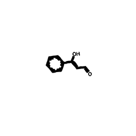 O=CC=C(O)c1ccccc1